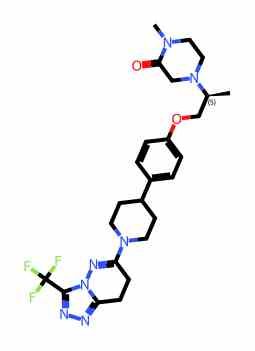 C[C@@H](COc1ccc(C2CCN(C3=Nn4c(nnc4C(F)(F)F)CC3)CC2)cc1)N1CCN(C)C(=O)C1